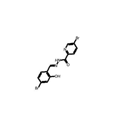 O=C(N/N=C/c1ccc(Br)cc1O)c1ccc(Br)cn1